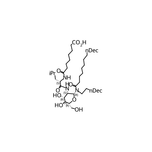 CCCCCCCCCCCCCCCCCC(=O)N(CCCCCCCCCCCC)[C@@H]1O[C@H](CO)[C@@H](O)[C@H](O)[C@@H]1NC(=O)[C@H](CC(C)C)NC(=O)CCCCCCC(=O)O